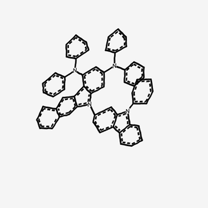 c1ccc(N(c2ccccc2)c2cc(N(c3ccccc3)c3ccccc3)c3c4cc5ccccc5cc4n(-c4ccc5c6ccccc6n(-c6ccccc6)c5c4)c3c2)cc1